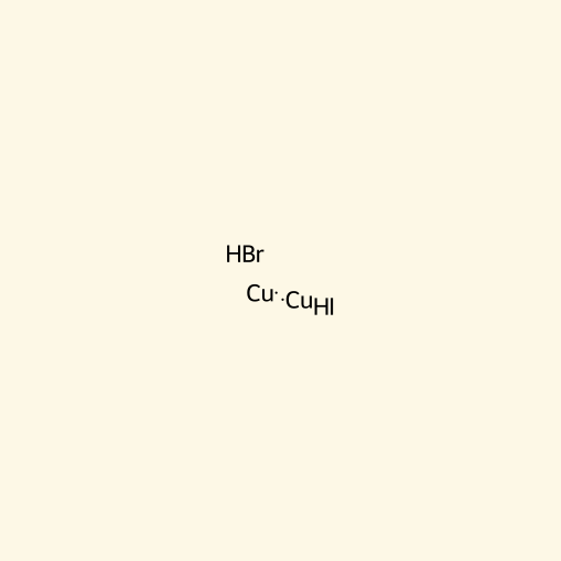 Br.I.[Cu].[Cu]